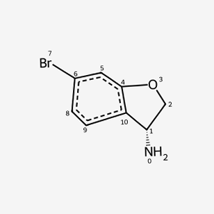 N[C@H]1COc2cc(Br)ccc21